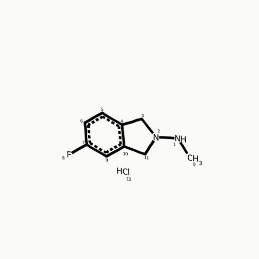 CNN1Cc2ccc(F)cc2C1.Cl